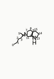 CCCCC(C)N1CCC2=C(C1)NCCC2